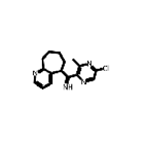 Cc1nc(Cl)cnc1C(=N)C1CCCCc2ncccc21